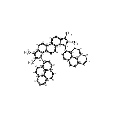 Cc1c(C)n(-c2ccc3ccc4c5c3c2CC=C5CC=C4)c2c1ccc1c3ccc4c(C)c(C)n(-c5ccc6ccc7cccc8ccc5c6c78)c4c3ccc12